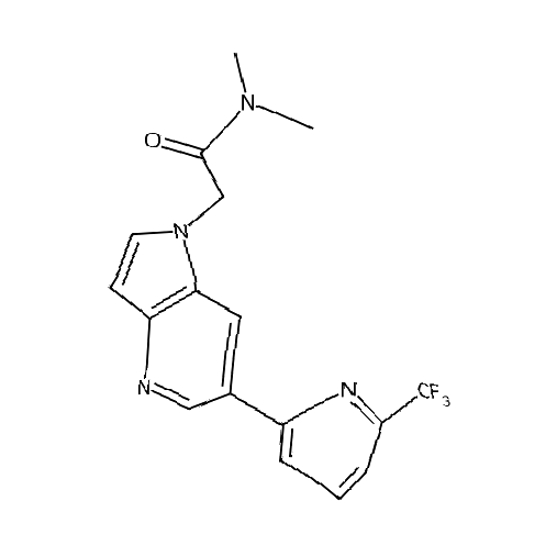 CN(C)C(=O)Cn1ccc2ncc(-c3cccc(C(F)(F)F)n3)cc21